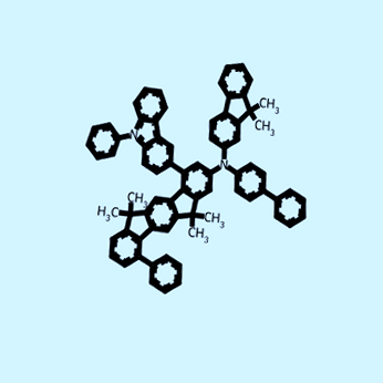 CC1(C)c2ccccc2-c2ccc(N(c3ccc(-c4ccccc4)cc3)c3cc(-c4ccc5c(c4)c4ccccc4n5-c4ccccc4)c4c(c3)C(C)(C)c3cc5c(cc3-4)C(C)(C)c3cccc(-c4ccccc4)c3-5)cc21